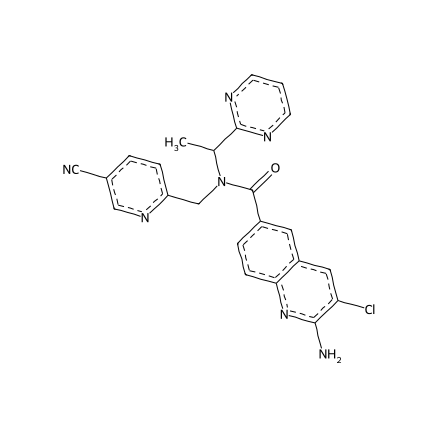 CC(c1ncccn1)N(Cc1ccc(C#N)cn1)C(=O)c1ccc2nc(N)c(Cl)cc2c1